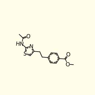 COC(=O)c1ccc(CCc2csc(NC(C)=O)n2)cc1